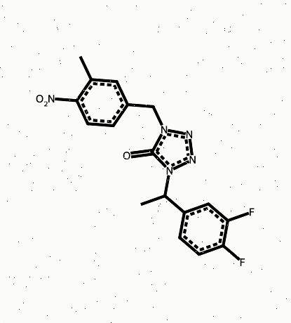 Cc1cc(Cn2nnn(C(C)c3ccc(F)c(F)c3)c2=O)ccc1[N+](=O)[O-]